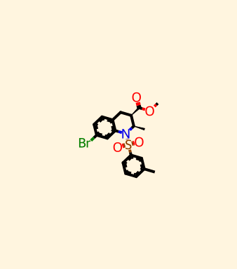 COC(=O)[C@@H]1Cc2ccc(Br)cc2N(S(=O)(=O)c2cccc(C)c2)[C@@H]1C